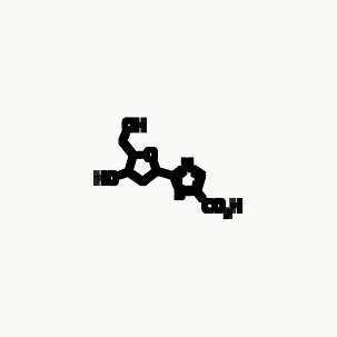 O=C(O)c1cnc(C2CC(O)C(CO)O2)s1